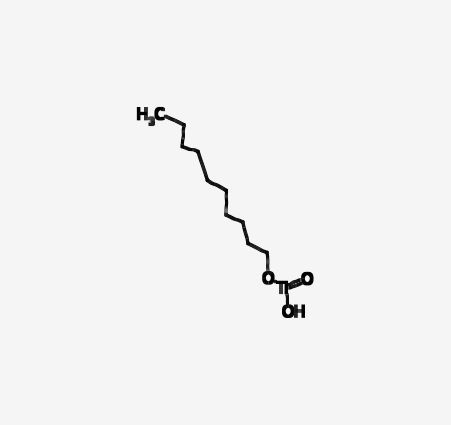 CCCCCCCCCC[O][Ti](=[O])[OH]